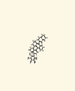 Fc1c(F)c(F)c(-c2ccc(-c3c4ccccc4c(-c4ccc5ccccc5c4)c4ccccc34)c3ccccc23)c(F)c1F